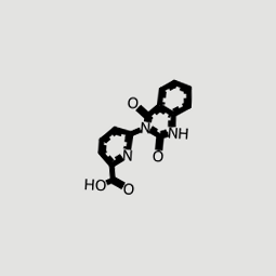 O=C(O)c1cccc(-n2c(=O)[nH]c3ccccc3c2=O)n1